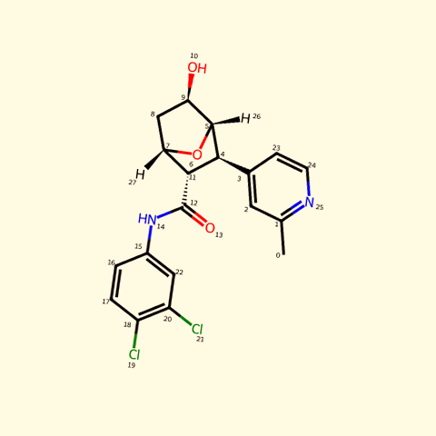 Cc1cc([C@@H]2[C@@H]3O[C@@H](C[C@H]3O)[C@H]2C(=O)Nc2ccc(Cl)c(Cl)c2)ccn1